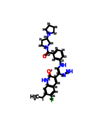 CCc1cc2[nH]c(=O)c(/C(=C/Nc3cccc(C(=O)N4CCC(N5CCCC5)C4)c3)N=N)cc2cc1F